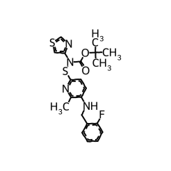 Cc1nc(SN(C(=O)OC(C)(C)C)c2cscn2)ccc1NCc1ccccc1F